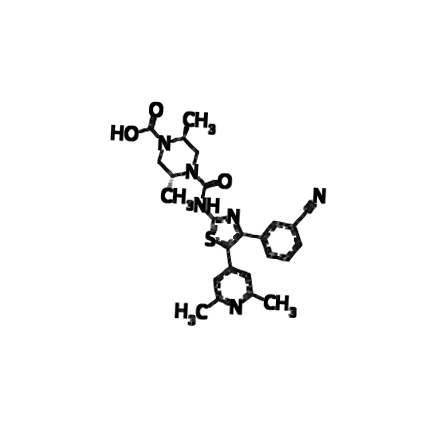 Cc1cc(-c2sc(NC(=O)N3C[C@H](C)N(C(=O)O)C[C@H]3C)nc2-c2cccc(C#N)c2)cc(C)n1